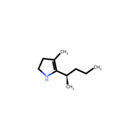 CCC[C@@H](C)C1=C(C)CCN1